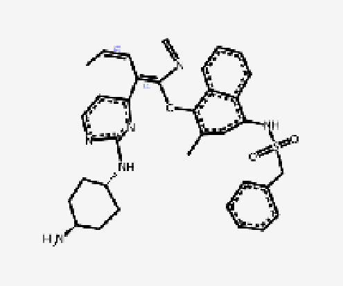 C=N/C(Oc1c(C)cc(NS(=O)(=O)Cc2ccccc2)c2ccccc12)=C(\C=C/C)c1ccnc(N[C@H]2CC[C@H](N)CC2)n1